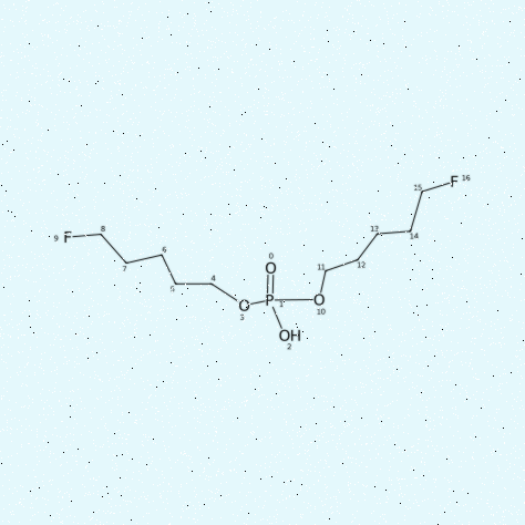 O=P(O)(OCCCCCF)OCCCCCF